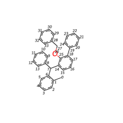 Cc1ccccc1C(c1ccccc1)c1cccc(-c2ccccc2)c1OCc1ccccc1